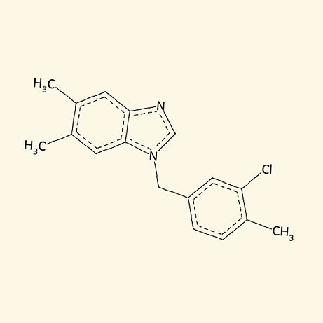 Cc1cc2ncn(Cc3ccc(C)c(Cl)c3)c2cc1C